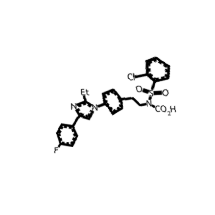 CCc1nc(-c2ccc(F)cc2)cn1-c1ccc(CCN(C(=O)O)S(=O)(=O)c2ccccc2Cl)cc1